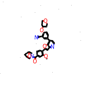 COc1cc(C(=O)N2CC3CC(C2)O3)ccc1-c1cc2nccc(-c3ccc(OC4CCOCC4)c(C#N)c3)c2o1